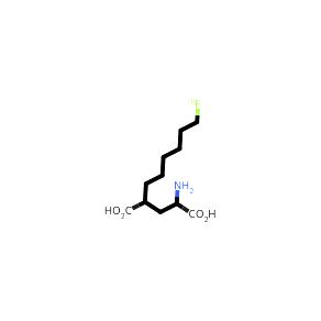 NC(CC(CCCCCC[18F])C(=O)O)C(=O)O